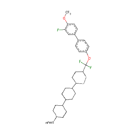 CCCCCC1CCC(C2CCC(C3CCC(C(F)(F)Oc4ccc(-c5ccc(OC(F)(F)F)c(F)c5)cc4)CC3)CC2)CC1